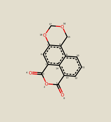 O=C1OC(=O)c2cc3c(c4cccc1c24)COCO3